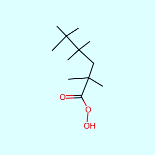 CC(C)(CC(C)(C)C(C)(C)C)C(=O)OO